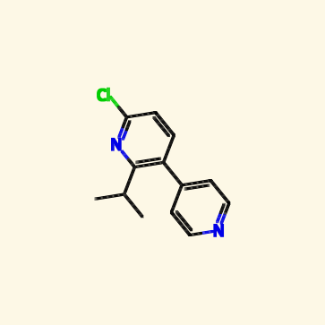 CC(C)c1nc(Cl)ccc1-c1ccncc1